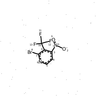 O=[N+]([O-])c1ccnc(Br)c1C(F)(F)F